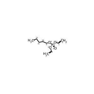 C=COP(=O)(OC=C)OCCCCC